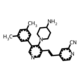 Cc1cc(C)cc(-c2cncc(/C=C/c3ccnc(C#N)c3)c2N2CCC(N)CC2)c1